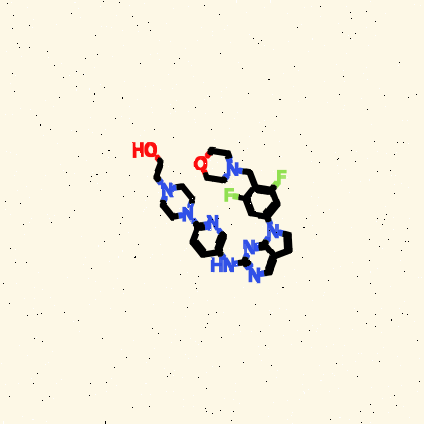 OCCN1CCN(c2ccc(Nc3ncc4ccn(-c5cc(F)c(CN6CCOCC6)c(F)c5)c4n3)cn2)CC1